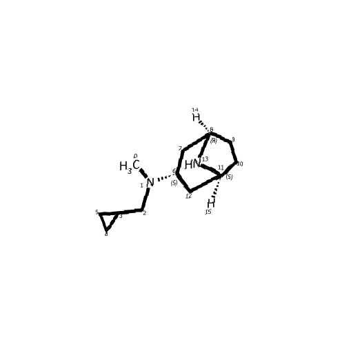 CN(CC1CC1)[C@@H]1C[C@H]2CC[C@@H](C1)N2